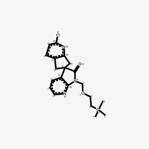 C[Si](C)(C)CCOCN1C(=O)C2(Cc3ccc(Cl)nc3C2)c2cccnc21